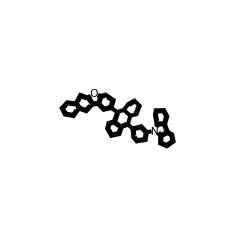 C1=CC2C(c3cccc(-n4c5ccccc5c5ccccc54)c3)=c3ccccc3=C(c3ccc4oc5cc6ccccc6cc5c4c3)C2C=C1